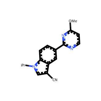 COc1ccnc(-c2ccc3c(c2)c(C#N)cn3C(C)C)n1